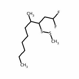 CCCCCCC(C)C(CC(F)F)SSC